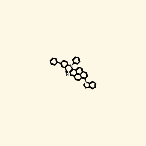 N#Cc1cc(-c2ccccc2)ccc1N(c1ccccc1)c1ccc2ccc3c(N4CCc5ccccc54)ccc4ccc1c2c43